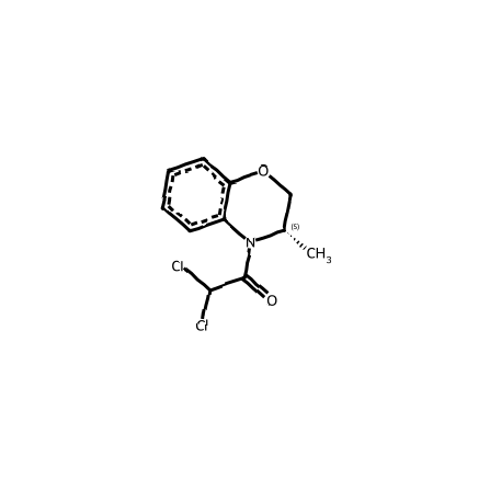 C[C@H]1COc2ccccc2N1C(=O)C(Cl)Cl